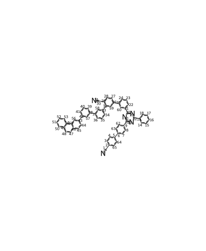 N#Cc1ccc(-c2ccc(-c3nc(-c4ccccc4)nc(-c4cccc(-c5ccc(C#N)c(-c6cccc(-c7cccc(-c8ccc9ccc%10ccccc%10c9c8)c7)c6)c5)c4)n3)cc2)cc1